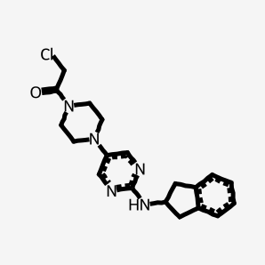 O=C(CCl)N1CCN(c2cnc(NC3Cc4ccccc4C3)nc2)CC1